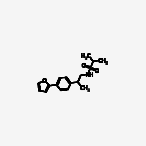 CC(CNS(=O)(=O)C(C)C)c1ccc(-c2ccco2)cc1